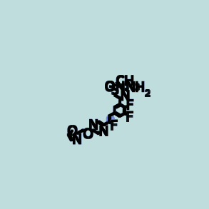 CN1C(N)=NC(c2cc(/C=C(\F)c3cnc(OCc4ncco4)cn3)cc(F)c2F)C[S+]1[O-]